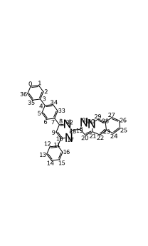 c1ccc(-c2ccc(-c3cc(-c4ccccc4)nc(-c4cc5cc6ccccc6cn5n4)n3)cc2)cc1